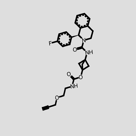 C#CCOCCNC(=O)OC12CC(NC(=O)N3CCc4ccccc4[C@@H]3c3ccc(F)cc3)(C1)C2